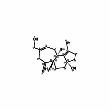 CC(C)C1=C2[C@@H]3CC=C(CO)CC(=O)[C@@]3(C)CC[C@]2(C#N)CC1